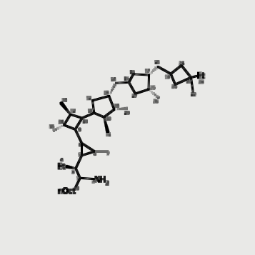 CCCCCCCCC(N)[C@@H](CC)C1C(C)C1C1C(C2C[C@H](CC3C[C@H](CC4CC(C)(CC)C4)[C@H](C)C3)[C@H](C)[C@H]2C)[C@H](C)[C@H]1C